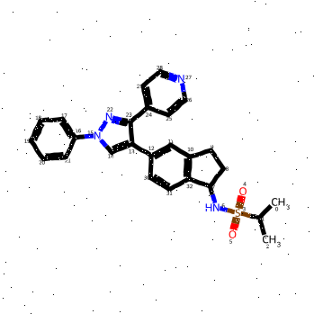 CC(C)S(=O)(=O)NC1CCc2cc(-c3cn(-c4ccccc4)nc3-c3ccncc3)ccc21